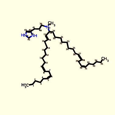 CCCCC/C=C\C/C=C\CCCCCC/C=C/C(CCCCCCCC/C=C\C/C=C\CCCCC)N(C)CCCC1=CNCN1